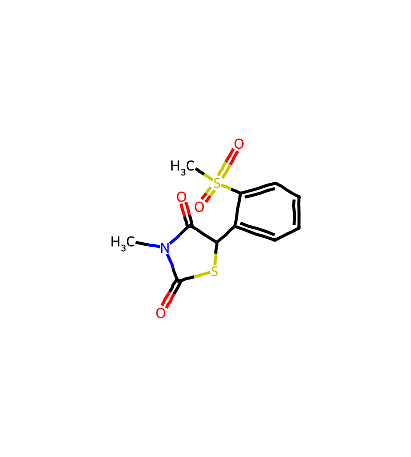 CN1C(=O)SC(c2ccccc2S(C)(=O)=O)C1=O